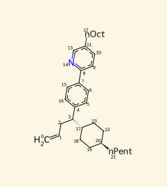 C=CCC(c1ccc(-c2ccc(CCCCCCCC)cn2)cc1)[C@H]1CC[C@H](CCCCC)CC1